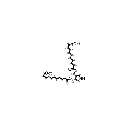 CCCCCCCC/C=C\CCCCCCCC(=O)OC[C@H]1CNC[C@@H]1COC(=O)CCCCCCC/C=C\CCCCCCCC